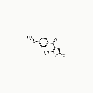 COc1ccc(C(=O)c2cc(Cl)sc2N)cn1